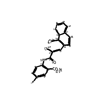 O=C(Nc1ccc(F)cc1C(=O)O)C(Cl)=Cc1ccc2ccccc2c1Cl